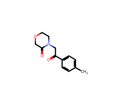 Cc1ccc(C(=O)CN2CCOCC2=O)cc1